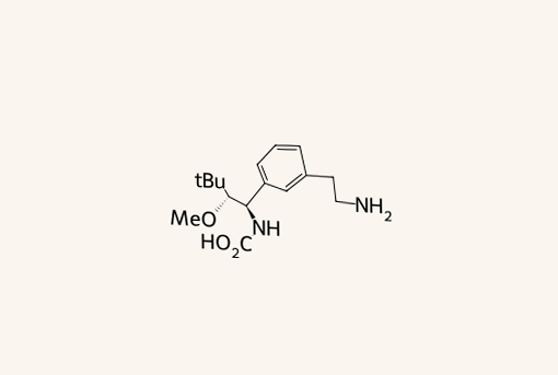 CO[C@@H]([C@H](NC(=O)O)c1cccc(CCN)c1)C(C)(C)C